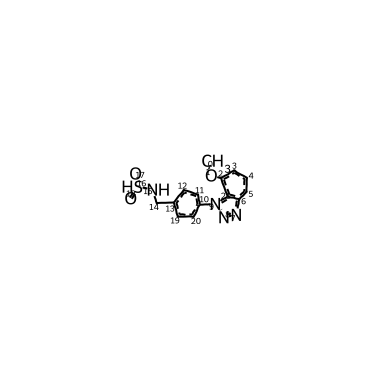 COc1cccc2nnn(-c3ccc(CN[SH](=O)=O)cc3)c12